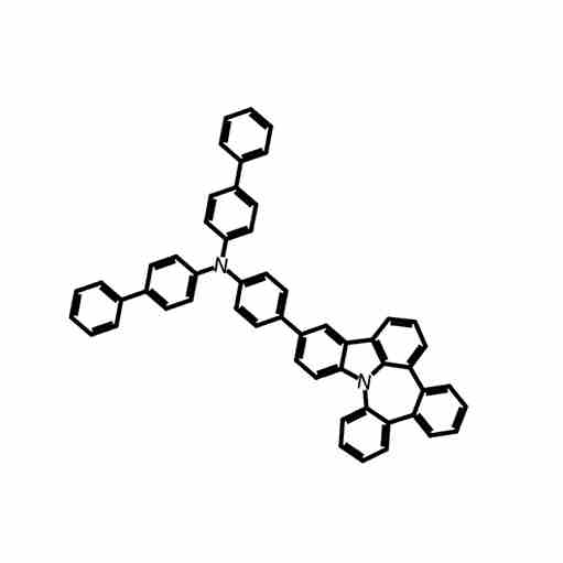 c1ccc(-c2ccc(N(c3ccc(-c4ccccc4)cc3)c3ccc(-c4ccc5c(c4)c4cccc6c4n5-c4ccccc4-c4ccccc4-6)cc3)cc2)cc1